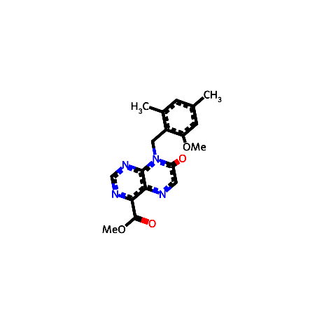 COC(=O)c1ncnc2c1ncc(=O)n2Cc1c(C)cc(C)cc1OC